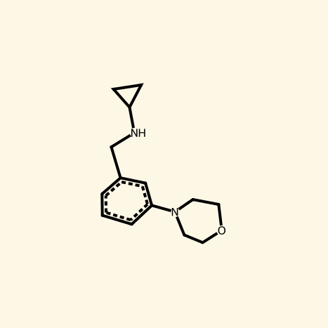 c1cc(CNC2CC2)cc(N2CCOCC2)c1